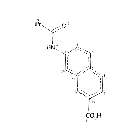 CC(C)C(=O)Nc1ccc2ccc(C(=O)O)cc2c1